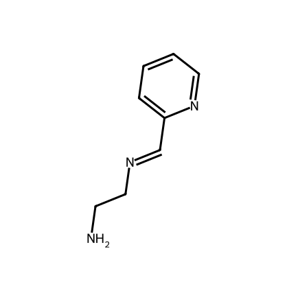 NCCN=Cc1ccccn1